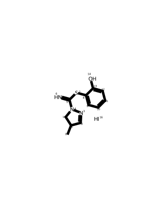 CC1C=NN(C(=N)Sc2ccccc2O)C1.I